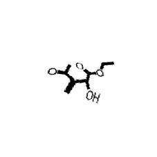 C=C(C(C)=O)C(O)C(=O)OCC